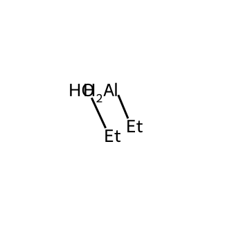 CCO.C[CH2][AlH2]